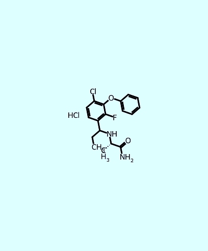 CCC(N[C@@H](C)C(N)=O)c1ccc(Cl)c(Oc2ccccc2)c1F.Cl